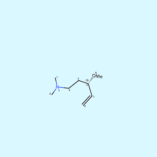 C=C[C@H](CCN(C)C)OC